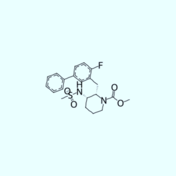 COC(=O)N1CCC[C@H](NS(C)(=O)=O)[C@@H]1Cc1cc(-c2ccccc2)ccc1F